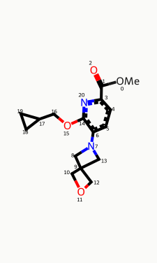 COC(=O)c1ccc(N2CC3(COC3)C2)c(OCC2CC2)n1